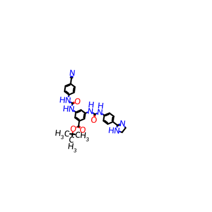 CC(C)(C)OC(=O)c1cc(NC(=O)Nc2ccc(C#N)cc2)cc(NC(=O)Nc2ccc(C3=NCCN3)cc2)c1